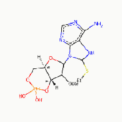 CCSC1Nc2c(N)ncnc2N1C1O[C@@H]2CO[PH](O)(O)O[C@H]2C1OC